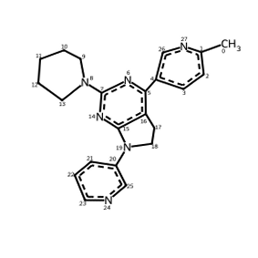 Cc1ccc(-c2nc(N3CCCCC3)nc3c2CCN3c2cccnc2)cn1